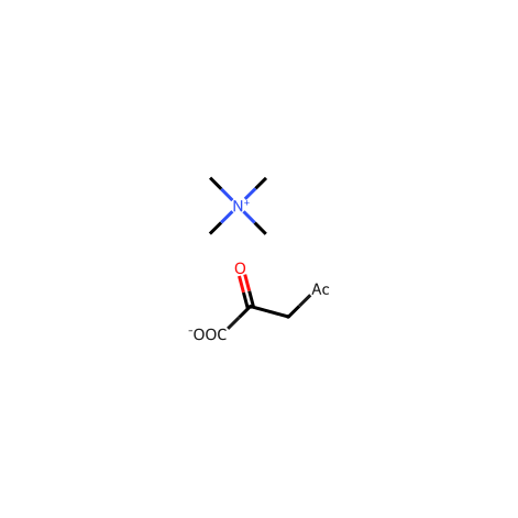 CC(=O)CC(=O)C(=O)[O-].C[N+](C)(C)C